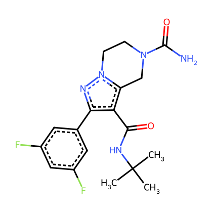 CC(C)(C)NC(=O)c1c(-c2cc(F)cc(F)c2)nn2c1CN(C(N)=O)CC2